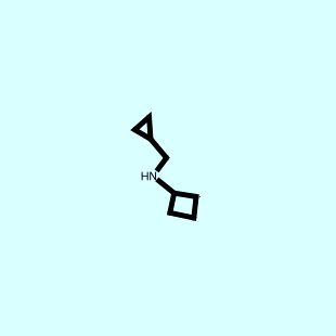 [CH]1CCC1NCC1CC1